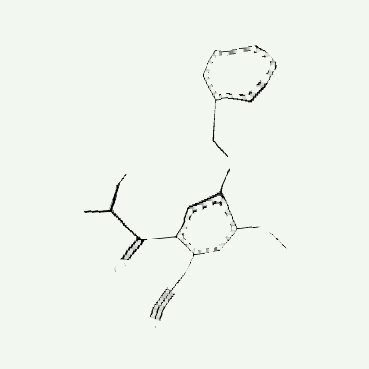 COc1cc(C#N)c(C(=O)C(C)C)cc1OCc1ccccc1